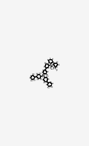 C[Si](c1ccccc1)(c1ccccc1)c1cccc(-c2ccc(N(c3ccc(-c4ccccc4)cc3)c3ccc(-c4ccccc4)cc3)cc2)c1